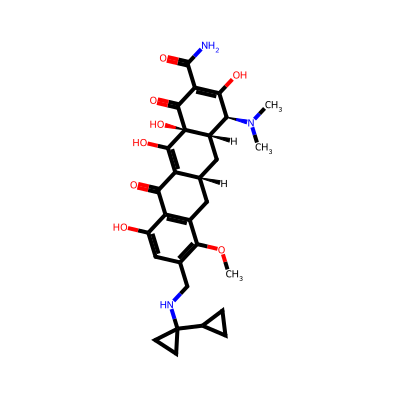 COc1c(CNC2(C3CC3)CC2)cc(O)c2c1C[C@H]1C[C@H]3[C@H](N(C)C)C(O)=C(C(N)=O)C(=O)[C@@]3(O)C(O)=C1C2=O